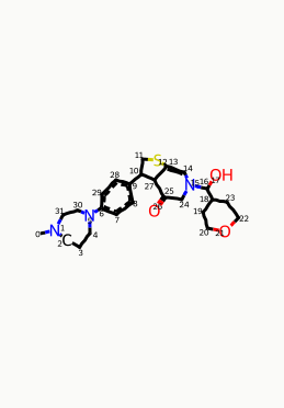 CN1CCCN(c2ccc(C3CSC4=CN(C(O)C5CCOCC5)CC(=O)C43)cc2)CC1